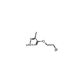 Cc1n[nH]cc1OCCBr